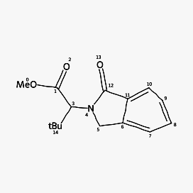 COC(=O)C(N1Cc2ccccc2C1=O)C(C)(C)C